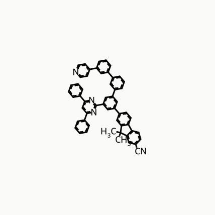 CC1(C)c2cc(C#N)ccc2-c2ccc(-c3cc(-c4cccc(-c5cccc(-c6ccncc6)c5)c4)cc(-c4nc(-c5ccccc5)cc(-c5ccccc5)n4)c3)cc21